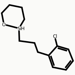 Clc1ccccc1CCC[SiH]1CCCCO1